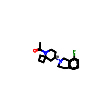 CC(=O)N1CC[C@H](N2CCc3cccc(F)c3C2)CC12CCC2